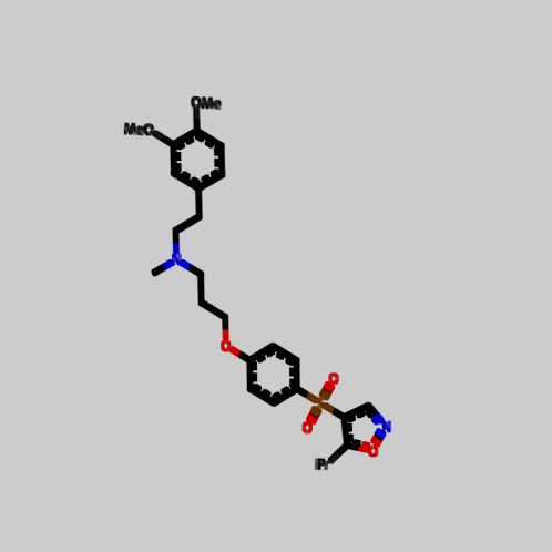 COc1ccc(CCN(C)CCCOc2ccc(S(=O)(=O)c3cnoc3C(C)C)cc2)cc1OC